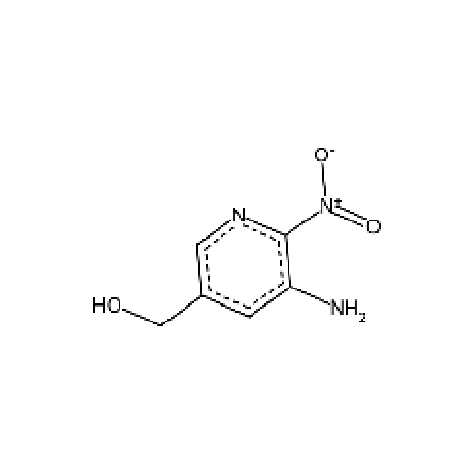 Nc1cc(CO)cnc1[N+](=O)[O-]